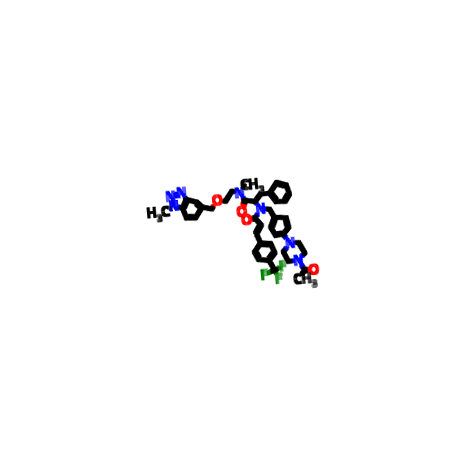 CC(=O)N1CCN(c2ccc(CN(C(=O)C=Cc3ccc(C(F)(F)F)cc3)C(Cc3ccccc3)C(=O)N(C)CCOCc3ccc4c(c3)nnn4C)cc2)CC1